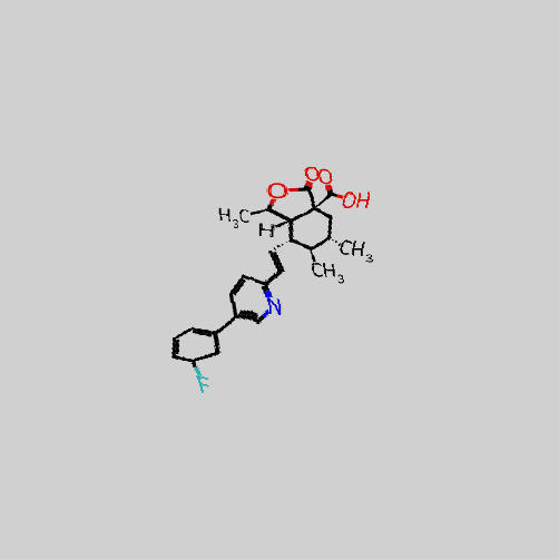 C[C@H]1[C@H](/C=C/c2ccc(C3=CC=CC(F)C3)cn2)[C@@H]2[C@@H](C)OC(=O)[C@]2(C(=O)O)C[C@@H]1C